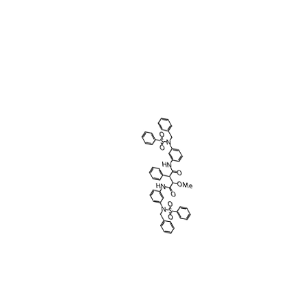 COC(C(=O)Nc1cccc(N(Cc2ccccc2)S(=O)(=O)c2ccccc2)c1)C(C(=O)Nc1cccc(N(Cc2ccccc2)S(=O)(=O)c2ccccc2)c1)c1ccccc1